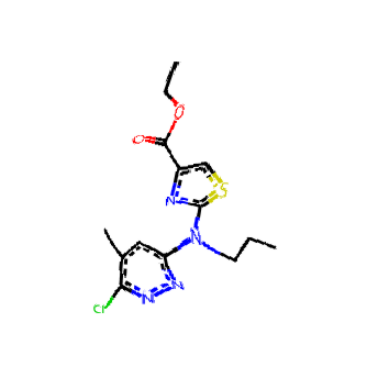 CCCN(c1cc(C)c(Cl)nn1)c1nc(C(=O)OCC)cs1